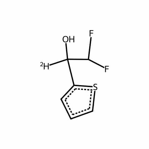 [2H]C(O)(c1cccs1)C(F)F